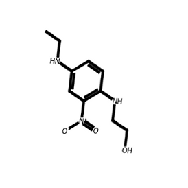 CCNc1ccc(NCCO)c([N+](=O)[O-])c1